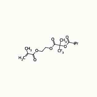 C=C(C)C(=O)OCCOC(=O)C(C)(OC(=O)C(C)C)C(F)(F)F